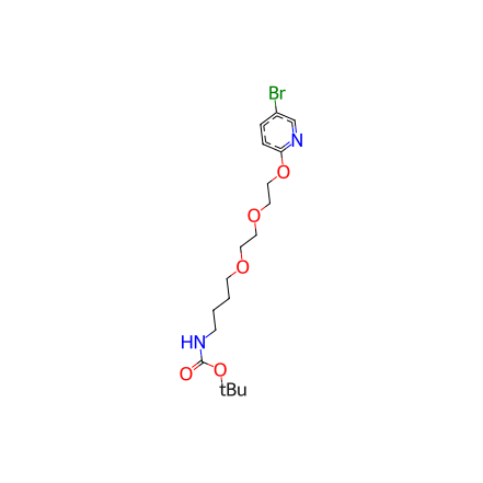 CC(C)(C)OC(=O)NCCCCOCCOCCOc1ccc(Br)cn1